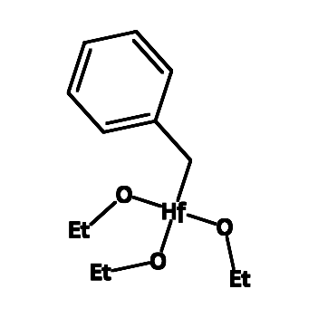 CC[O][Hf]([CH2]c1ccccc1)([O]CC)[O]CC